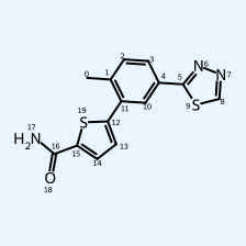 Cc1ccc(-c2nncs2)cc1-c1ccc(C(N)=O)s1